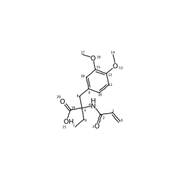 C=CC(=O)NC(CC)(Cc1ccc(OC)c(OC)c1)C(=O)O